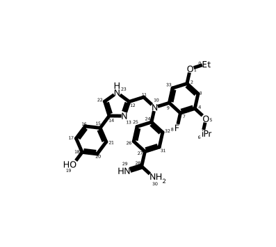 CCOc1cc(OC(C)C)c(F)c(N(Cc2nc(-c3ccc(O)cc3)c[nH]2)c2ccc(C(=N)N)cc2)c1